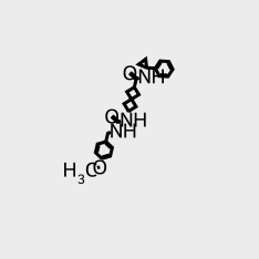 COc1ccc(CNC(=O)NC2CC3(C2)CC(C(=O)NC2(c4ccccc4)CC2)C3)cc1